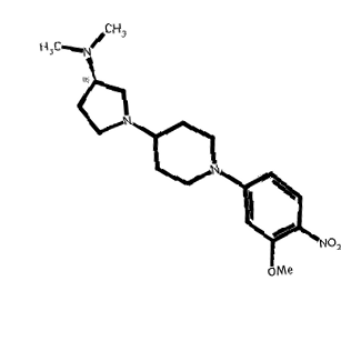 COc1cc(N2CCC(N3CC[C@@H](N(C)C)C3)CC2)ccc1[N+](=O)[O-]